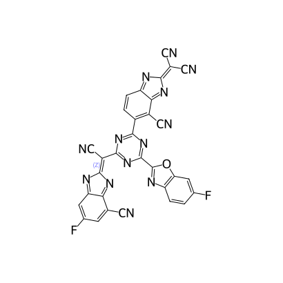 N#CC(C#N)=C1N=c2ccc(-c3nc(/C(C#N)=C4/N=c5cc(F)cc(C#N)c5=N4)nc(-c4nc5ccc(F)cc5o4)n3)c(C#N)c2=N1